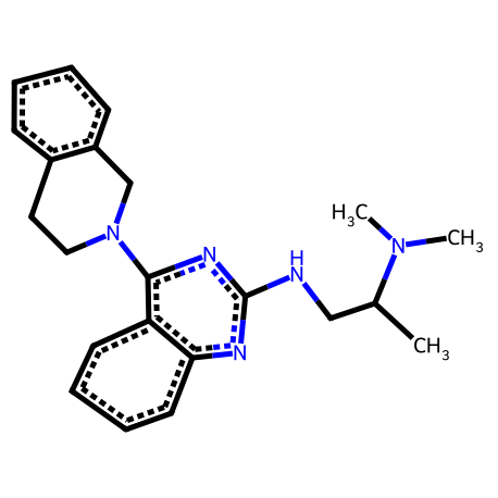 CC(CNc1nc(N2CCc3ccccc3C2)c2ccccc2n1)N(C)C